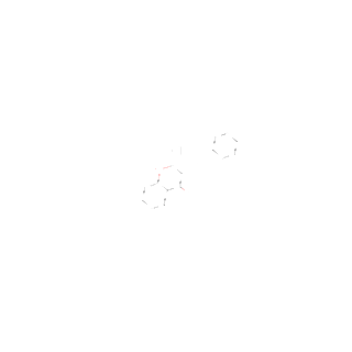 O=c1c(OCc2ccccc2)c(C(F)(F)F)oc2cc(O)cc(O)c12